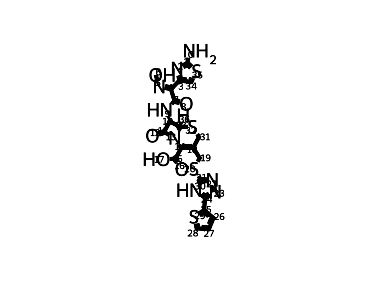 Nc1nc(C(=NO)C(=O)N[C@@H]2C(=O)N3C(C(=O)O)=C(CSc4nnc(-c5cccs5)[nH]4)CS[C@@H]23)cs1